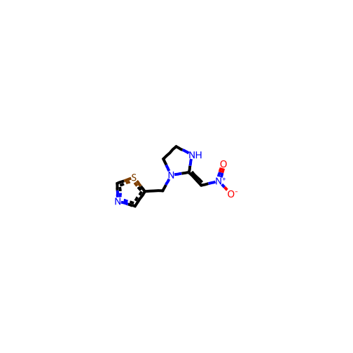 O=[N+]([O-])/C=C1\NCCN1Cc1cncs1